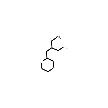 CCN(CC)CC1C[N]CCO1